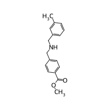 COC(=O)c1ccc(CNCc2cccc(C)c2)cc1